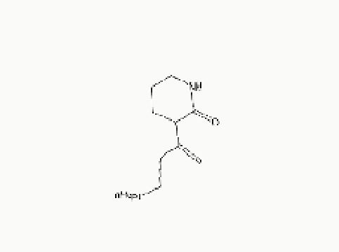 CCCCCCCCCC(=O)C1CCCNC1=O